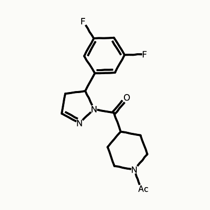 CC(=O)N1CCC(C(=O)N2N=CCC2c2cc(F)cc(F)c2)CC1